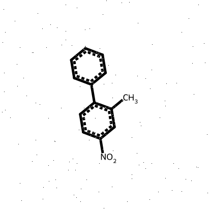 Cc1cc([N+](=O)[O-])ccc1-c1cc[c]cc1